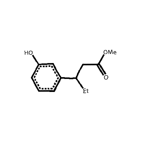 CCC(CC(=O)OC)c1cccc(O)c1